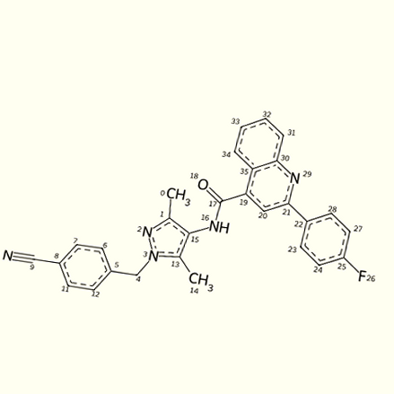 Cc1nn(Cc2ccc(C#N)cc2)c(C)c1NC(=O)c1cc(-c2ccc(F)cc2)nc2ccccc12